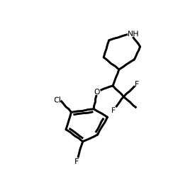 CC(F)(F)C(Oc1ccc(F)cc1Cl)C1CCNCC1